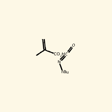 C=C(C)C(=O)O.CCCCN=C=O